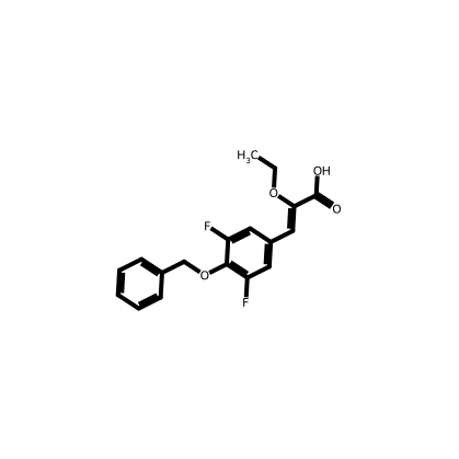 CCO/C(=C\c1cc(F)c(OCc2ccccc2)c(F)c1)C(=O)O